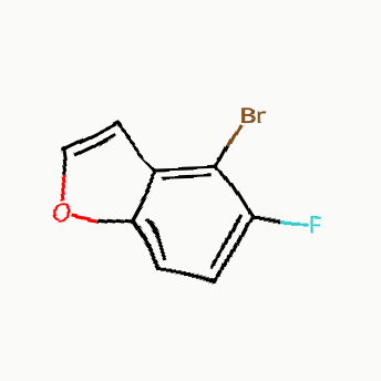 Fc1ccc2occc2c1Br